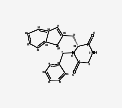 O=C1NCC(=O)N(Cc2ccccc2)[C@@H]1Cc1cc2ccccc2s1